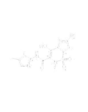 Cc1cnc(NC(=O)C2=C(O)c3sc(Br)cc3S(=O)(=O)N2C)s1